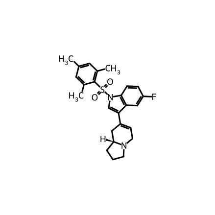 Cc1cc(C)c(S(=O)(=O)n2cc(C3=CCN4CCC[C@@H]4C3)c3cc(F)ccc32)c(C)c1